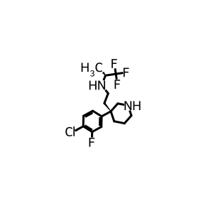 C[C@H](NCC[C@]1(c2ccc(Cl)c(F)c2)CCCNC1)C(F)(F)F